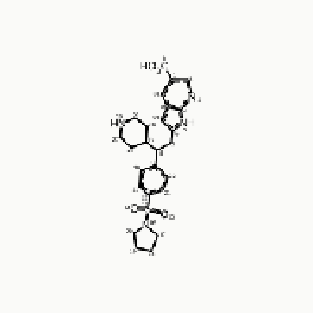 O=C(O)c1cnc2[nH]c(CC(c3ccc(S(=O)(=O)N4CCCC4)cc3)C3CCNCC3)cc2c1